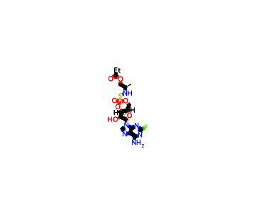 CCC(=O)OC[C@H](C)NSP1(=O)OC[C@H]2O[C@@H](n3cnc4c(N)nc(F)nc43)[C@@H](O)[C@@H]2O1